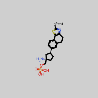 CCCCCc1nc2c(s1)-c1ccc([C@H]3CC[C@](N)(COP(=O)(O)O)C3)cc1CC2